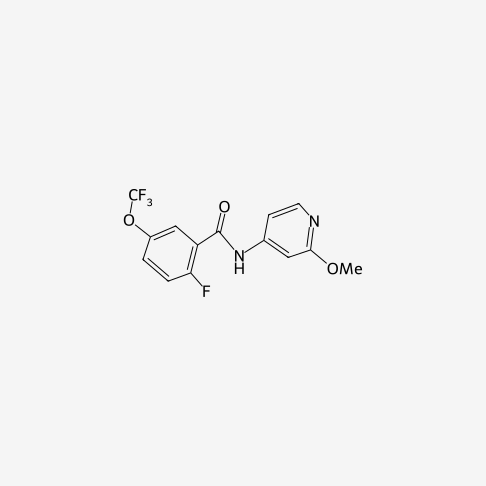 COc1cc(NC(=O)c2cc(OC(F)(F)F)ccc2F)ccn1